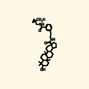 CC1(C)C(O)CCC2(C)C1CCC1(C)C3CCC4(C(=O)NCCc5cccc(C(=O)NCC6(C(=O)O)CC6)c5)CCCC4C3CCC12